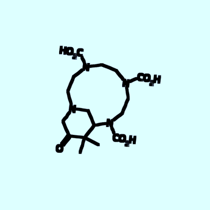 CC1(C)C(=O)CN2CCN(C(=O)O)CCN(C(=O)O)CCN(C(=O)O)C1C2